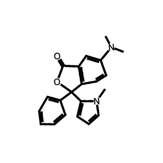 CN(C)c1ccc2c(c1)C(=O)OC2(c1ccccc1)c1cccn1C